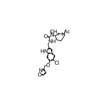 CC(=O)N1CCCC(N(C)C(=O)NCc2cc3cc(Cl)c(OCc4ccon4)cc3[nH]2)C1